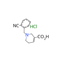 Cl.N#Cc1ccccc1CN1CCC=C(C(=O)O)C1